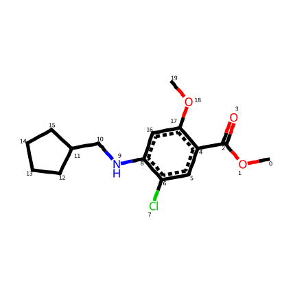 COC(=O)c1cc(Cl)c(NCC2CCCC2)cc1OC